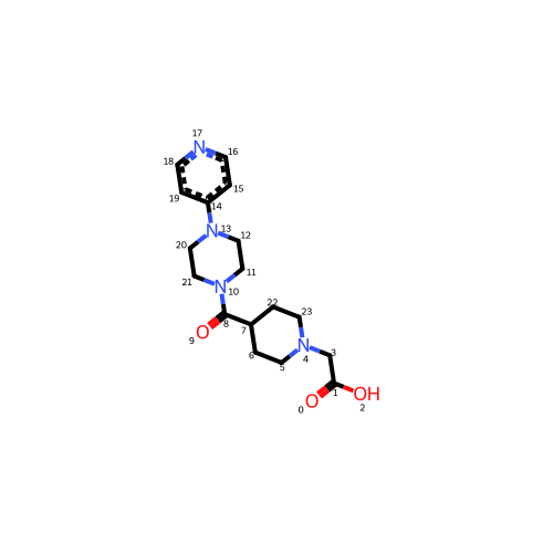 O=C(O)CN1CCC(C(=O)N2CCN(c3ccncc3)CC2)CC1